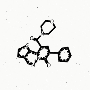 O=C(c1cc(-c2ccccc2)c(=O)n2ncc3ccsc3c12)N1CCOCC1